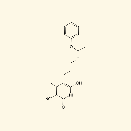 Cc1c(CCCOC(C)Oc2ccccc2)c(O)[nH]c(=O)c1C#N